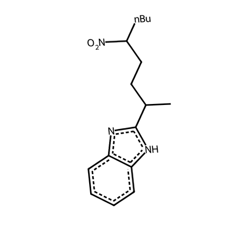 CCCCC(CCC(C)c1nc2ccccc2[nH]1)[N+](=O)[O-]